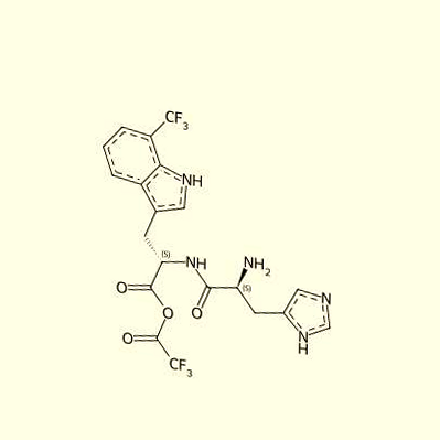 N[C@@H](Cc1cnc[nH]1)C(=O)N[C@@H](Cc1c[nH]c2c(C(F)(F)F)cccc12)C(=O)OC(=O)C(F)(F)F